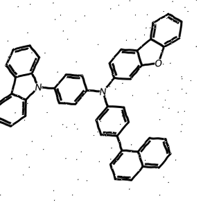 c1ccc2c(-c3ccc(N(c4ccc(-n5c6ccccc6c6ccccc65)cc4)c4ccc5c(c4)oc4ccccc45)cc3)cccc2c1